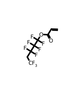 C=CC(=O)OC(F)(F)C(F)(F)C(F)(F)CC(F)(F)F